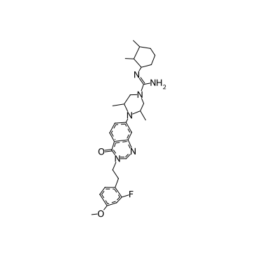 COc1ccc(CCn2cnc3cc(N4C(C)CN(C(N)=NC5CCCC(C)C5C)CC4C)ccc3c2=O)c(F)c1